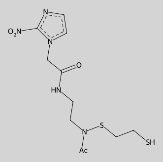 CC(=O)N(CCNC(=O)Cn1ccnc1[N+](=O)[O-])SCCS